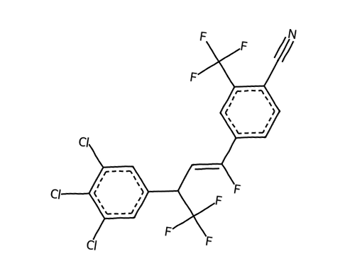 N#Cc1ccc(C(F)=CC(c2cc(Cl)c(Cl)c(Cl)c2)C(F)(F)F)cc1C(F)(F)F